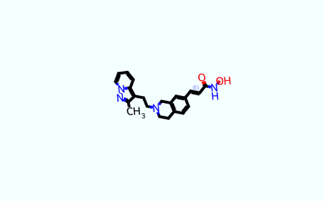 Cc1nn2ccccc2c1CCN1CCc2ccc(/C=C/C(=O)NO)cc2C1